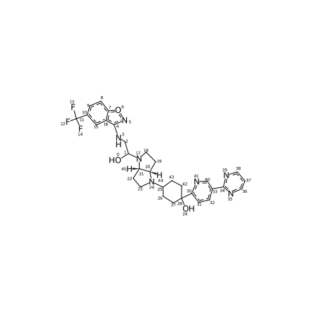 OC(CNc1noc2ccc(C(F)(F)F)cc12)N1CC[C@H]2[C@@H]1CCN2C1CCC(O)(c2ccc(-c3ncccn3)cn2)CC1